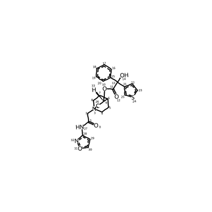 O=C(C[N+]12CCC(CC1)[C@@H](OC(=O)C(O)(c1ccccc1)c1ccsc1)C2)Nc1ccon1